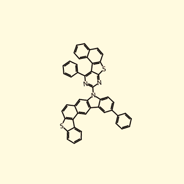 c1ccc(-c2ccc3c(c2)c2cc4c(ccc5sc6ccccc6c54)cc2n3-c2nc(-c3ccccc3)c3c(n2)sc2ccc4ccccc4c23)cc1